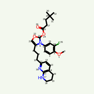 COc1ccc(N2C(CCCc3ccc4c(n3)NCCC4)=COC2OC(=O)CCC(C)(C)C)cc1F